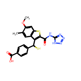 COc1cc2sc(C(=O)Nc3nnn[nH]3)c(C(S)c3ccc(C(=O)O)cc3)c2cc1C